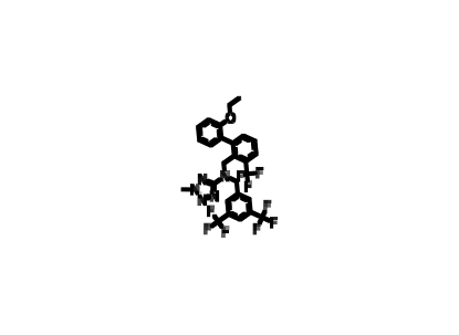 CCOc1ccccc1-c1cccc(C(F)(F)F)c1CN(Cc1cc(C(F)(F)F)cc(C(F)(F)F)c1)c1nnn(C)n1